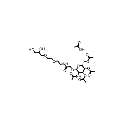 CC(=O)N[C@H]1[C@H](OCC(=O)NCCOCCOC[C@H](O)CO)O[C@H](COC(C)=O)[C@H](OC(C)=O)[C@@H]1OC(C)=O.CC(=O)O